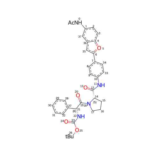 CC(=O)Nc1ccc2oc(-c3ccc(NC(=O)[C@@H]4CCCN4C(=O)[C@H](NC(=O)OC(C)(C)C)c4ccccc4)cc3)cc2c1